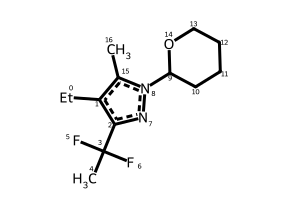 CCc1c(C(C)(F)F)nn(C2CCCCO2)c1C